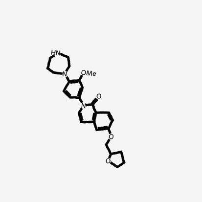 COc1cc(-n2ccc3cc(OCC4CCCO4)ccc3c2=O)ccc1N1CCCNCC1